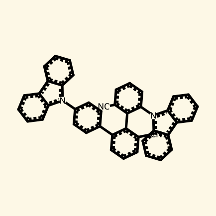 N#Cc1cccc(-c2ccc(-n3c4ccccc4c4ccccc43)cc2)c1-c1c(C#N)cccc1-n1c2ccccc2c2ccccc21